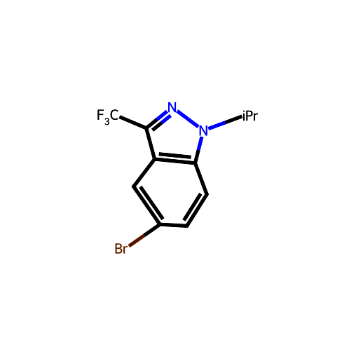 CC(C)n1nc(C(F)(F)F)c2cc(Br)ccc21